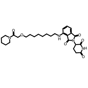 O=C1CCC(N2C(=O)c3cccc(NCCCCCCCCOCC(=O)N4CCCCC4)c3C2=O)C(=O)N1